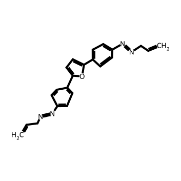 C=CCN=Nc1ccc(-c2ccc(-c3ccc(N=NCC=C)cc3)o2)cc1